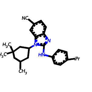 CC1CC(n2c(Nc3ccc(C(C)C)cc3)nc3ccc(C#N)cc32)CC(C)(C)C1